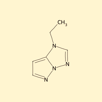 CCn1cnn2nccc12